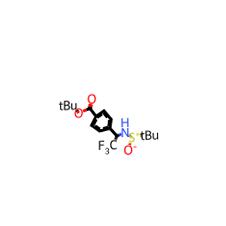 CC(C)(C)OC(=O)c1ccc(C(N[S+]([O-])C(C)(C)C)C(F)(F)F)cc1